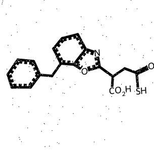 O=C(S)CC(C(=O)O)c1nc2cccc(Cc3ccccc3)c2o1